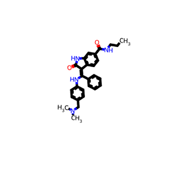 CCCNC(=O)c1ccc2c(c1)NC(=O)/C2=C(\Nc1ccc(CN(C)C)cc1)c1ccccc1